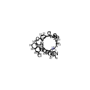 Cc1ncc([C@@]2(O)/C=C/C[C@H](C)[C@@H](C)S(=O)(=O)NC(=O)c3ccc4c(c3)N(C[C@@H]3CC[C@H]32)C[C@@]2(CCCc3cc(Cl)ccc32)CO4)n1C